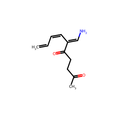 C=C/C=C\C(=C/N)C(=O)CCC(C)=O